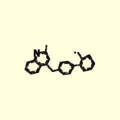 [CH2]c1ccccc1-c1ccc(Cc2cc(C)nc3ccccc23)cc1